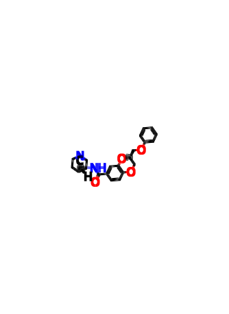 O=C(N[C@H]1CN2CCC1CC2)c1ccc2c(c1)O[C@@H](COc1ccccc1)CO2